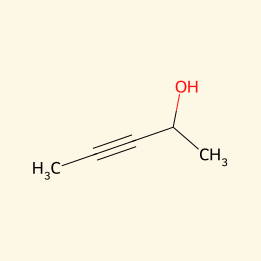 CC#CC(C)O